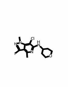 Cc1nc(NC2CCOCC2)c(Cl)c2c1c(I)nn2C